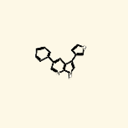 c1ccc(-c2cnc3[nH]cc(-c4ccoc4)c3c2)cc1